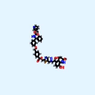 O=C(N[C@@H](c1ccccc1)c1cccc(OCc2ccc(C(=O)OCc3ncc(CNC[C@H](O)c4ccc(O)c5[nH]c(=O)ccc45)s3)cc2)c1)O[C@H]1CN2CCC1CC2